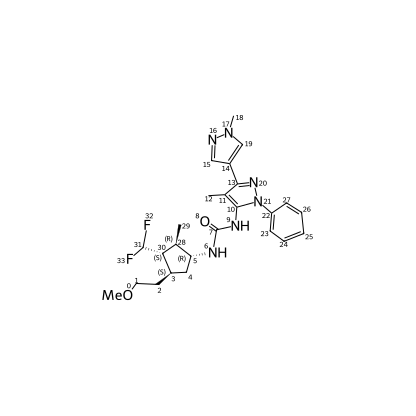 COCC[C@@H]1C[C@@H](NC(=O)Nc2c(C)c(-c3cnn(C)c3)nn2-c2ccccc2)[C@H](C)[C@H]1C(F)F